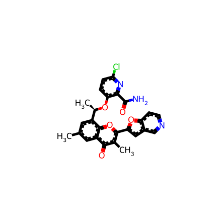 Cc1cc([C@@H](C)Oc2ccc(Cl)nc2C(N)=O)c2oc(-c3cc4cnccc4o3)c(C)c(=O)c2c1